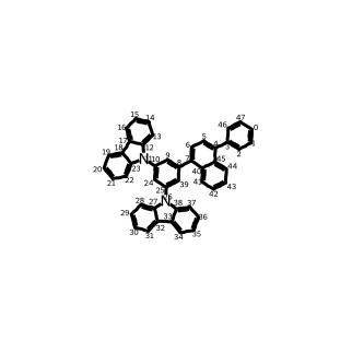 c1ccc(-c2ccc(-c3cc(-n4c5ccccc5c5ccccc54)cc(-n4c5ccccc5c5ccccc54)c3)c3ccccc23)cc1